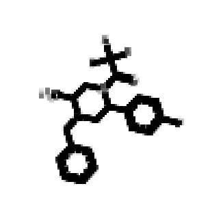 CC1CN(C(=O)C(F)(F)F)C(c2ccc(F)cc2)CN1Cc1ccccc1